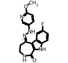 COc1ccc(N/N=C2/CCNC(=O)c3[nH]c4ccc(F)cc4c32)cn1